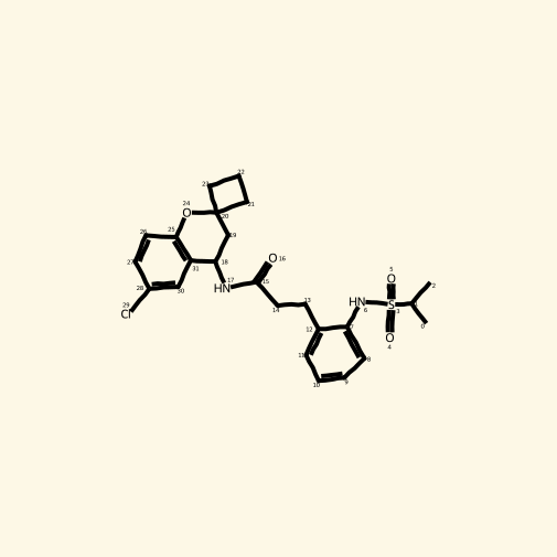 CC(C)S(=O)(=O)Nc1ccccc1CCC(=O)NC1CC2(CCC2)Oc2ccc(Cl)cc21